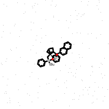 CC(C)C[C@@]1(C[Si](c2ccccc2)(c2ccccc2)C(C)(C)C)CC2CC1(C(=O)c1ccc3ccccc3c1)C2